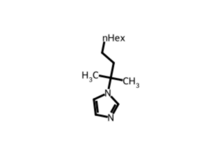 CCCCCCCCC(C)(C)n1ccnc1